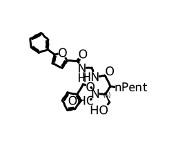 CCCCCC(C(=O)NCNC(=O)c1ccc(-c2ccccc2)o1)[C@@H](CO)N(C=O)OCc1ccccc1